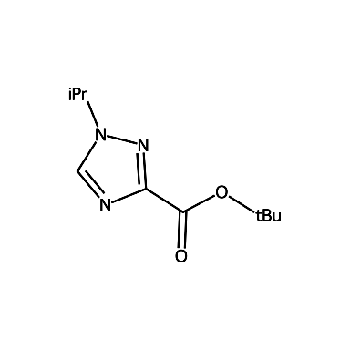 CC(C)n1cnc(C(=O)OC(C)(C)C)n1